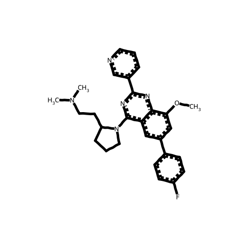 COc1cc(-c2ccc(F)cc2)cc2c(N3CCCC3CCN(C)C)nc(-c3cccnc3)nc12